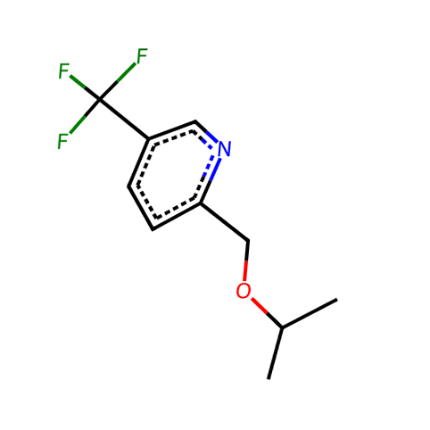 CC(C)OCc1ccc(C(F)(F)F)cn1